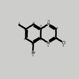 Cc1cc(Br)c2nc(Cl)cnc2c1